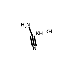 N#CN.[KH].[KH]